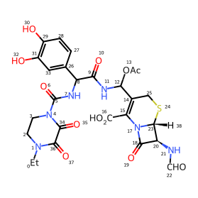 CCN1CCN(C(=O)NC(C(=O)NC(OC(C)=O)C2=C(C(=O)O)N3C(=O)[C@H](NC=O)[C@H]3SC2)c2ccc(O)c(O)c2)C(=O)C1=O